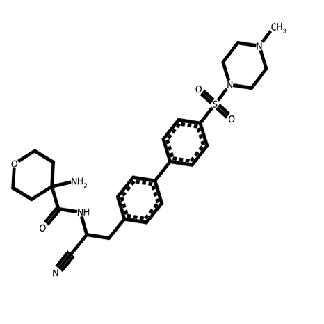 CN1CCN(S(=O)(=O)c2ccc(-c3ccc(CC(C#N)NC(=O)C4(N)CCOCC4)cc3)cc2)CC1